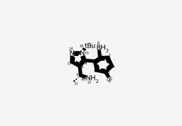 Bc1ccc(F)cc1-c1c([C@@H](C)N)cnn1C(C)(C)C